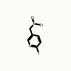 CCN(CC)Cc1ccc(I)nc1